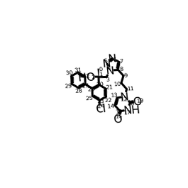 C[C@@](O)(Cn1nncc1CCCn1ccc(=O)[nH]c1=O)c1ccc(Cl)cc1-c1ccccc1